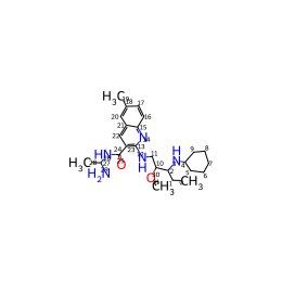 CCC(NC1CCCCC1)C(CNc1nc2ccc(C)cc2cc1C(=O)NC(C)N)OC